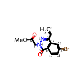 C=Cc1nn(CC(=O)OC)c(=O)c2ccc(Br)cc12